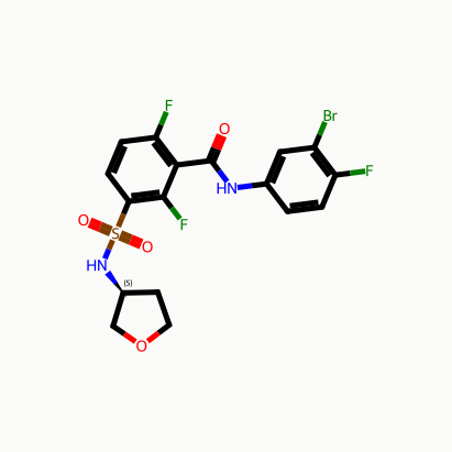 O=C(Nc1ccc(F)c(Br)c1)c1c(F)ccc(S(=O)(=O)N[C@H]2CCOC2)c1F